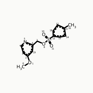 COc1ccnc(COS(=O)(=O)c2ccc(C)cc2)c1